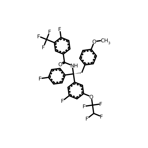 COc1ccc(C[C@@](NC(=O)c2ccc(F)c(C(F)(F)F)c2)(c2ccc(F)cc2)c2cc(F)cc(OC(F)(F)C(F)F)c2)cc1